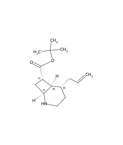 C=CC[C@@H]1CCN[C@H]2C[C@H](C(=O)OC(C)(C)C)[C@@H]12